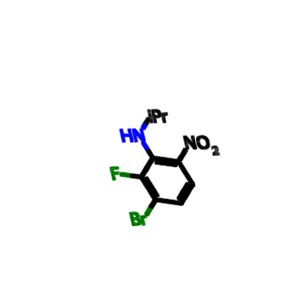 CC(C)Nc1c([N+](=O)[O-])ccc(Br)c1F